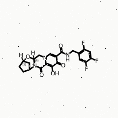 O=C(NCc1cc(F)c(F)cc1F)c1cn2c(c(O)c1=O)C(=O)N1C3CC[C@@H](C3)O[C@@H]1C2